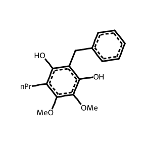 CCCc1c(O)c(Cc2ccccc2)c(O)c(OC)c1OC